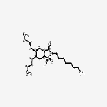 CCCCCCCCN1C(=O)C2CC(CCCC)=C(CCCC)CC2S1(=O)=O